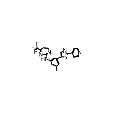 Cc1cc(Nc2nccc(C(F)(F)F)n2)cc(-c2cnc(-c3ccncc3)s2)c1